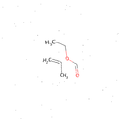 C=CC.CCOC=O